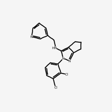 Clc1cccc(-n2nc3c(c2NCc2cccnc2)CCC3)c1Cl